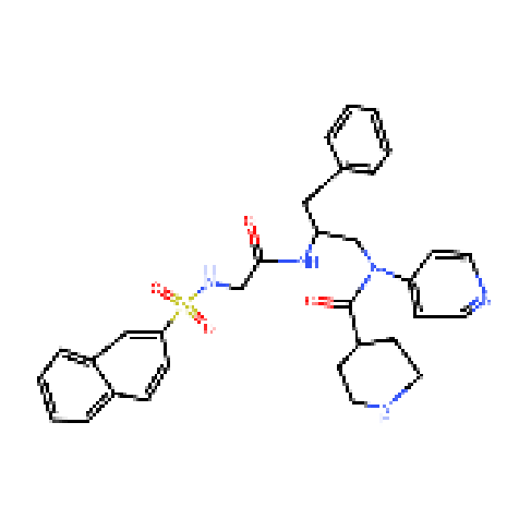 O=C(CNS(=O)(=O)c1ccc2ccccc2c1)NC(Cc1ccccc1)CN(C(=O)C1CCNCC1)c1ccncc1